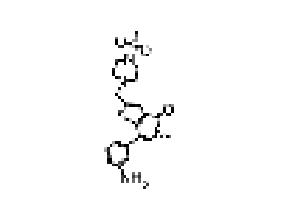 Cn1cc(-c2cccc(N)c2)c2sc(CN3CCN(S(C)(=O)=O)CC3)cc2c1=O